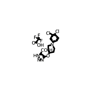 O=C(O)C(F)(F)F.O=C(O)c1[nH]nnc1OC1CCN(c2ccc(Cl)c(Cl)c2)CC1